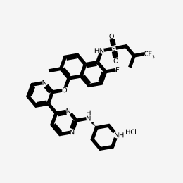 Cc1ccc2c(NS(=O)(=O)CC(C)C(F)(F)F)c(F)ccc2c1Oc1ncccc1-c1ccnc(N[C@H]2CCCNC2)n1.Cl